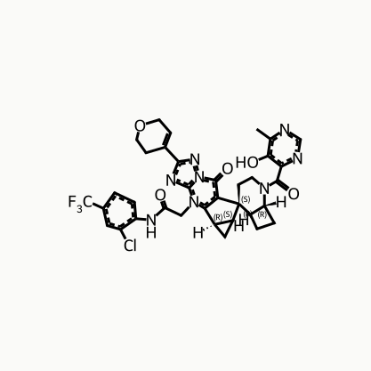 Cc1ncnc(C(=O)N2CC[C@@]3(c4c(n(CC(=O)Nc5ccc(C(F)(F)F)cc5Cl)c5nc(C6=CCOCC6)nn5c4=O)[C@@H]4C[C@@H]43)[C@H]3CC[C@H]32)c1O